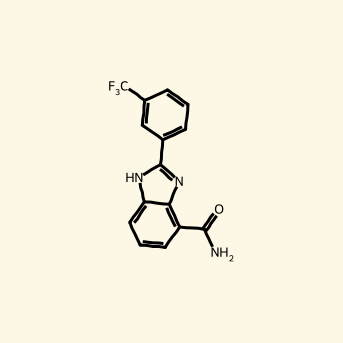 NC(=O)c1cccc2[nH]c(-c3cccc(C(F)(F)F)c3)nc12